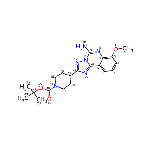 COc1cccc2c1nc(N)n1nc(C3CCN(C(=O)OC(C)(C)C)CC3)nc21